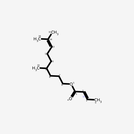 C/C=C/C(=O)OCCCC(C)CCC=C(C)C